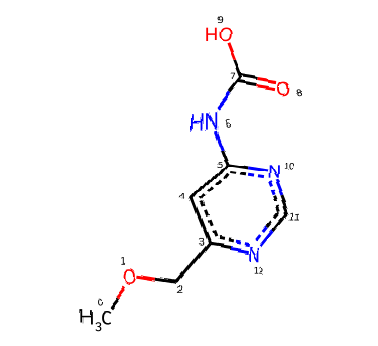 COCc1cc(NC(=O)O)ncn1